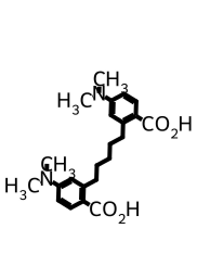 CN(C)c1ccc(C(=O)O)c(CCCCCc2cc(N(C)C)ccc2C(=O)O)c1